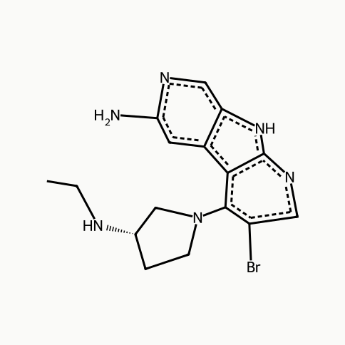 CCN[C@H]1CCN(c2c(Br)cnc3[nH]c4cnc(N)cc4c23)C1